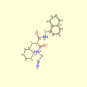 N#CCNC(=O)C(CC1CCCCC1)C(=O)NCc1cccc2ccccc12